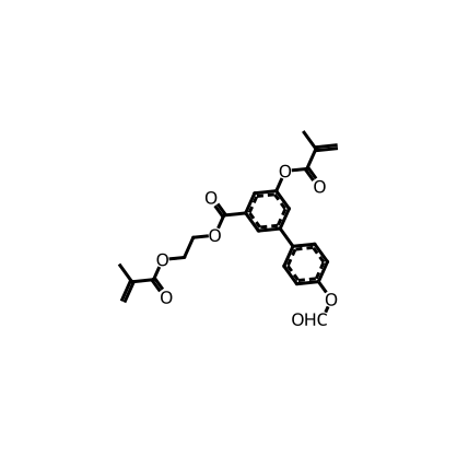 C=C(C)C(=O)OCCOC(=O)c1cc(OC(=O)C(=C)C)cc(-c2ccc(OC=O)cc2)c1